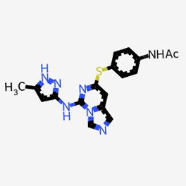 CC(=O)Nc1ccc(Sc2cc3cncn3c(Nc3cc(C)[nH]n3)n2)cc1